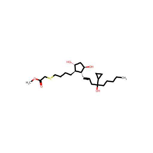 CCCCCC(O)(CC=C[C@@H]1[C@@H](CCCCSCC(=O)OC)[C@H](O)C[C@H]1O)C1CC1